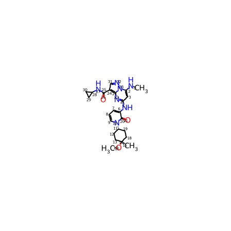 CNc1cc(Nc2cccn([C@H]3CC[C@@](C)(OC)CC3)c2=O)nc2c(C(=O)NC3CC3)cnn12